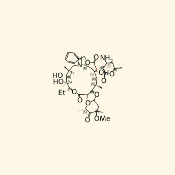 CC[C@H]1OC(=O)C(C)[C@H](OC2C[C@@](C)(OC)C(=O)[C@H](C)O2)[C@H](C)[C@@H](O[C@@H]2O[C@H](C)C[C@H](N)[C@H]2CC(=O)OCc2ccccc2)[C@@](C)(O)C[C@@H](C)NC[C@H](C)[C@@H](O)[C@]1(C)O